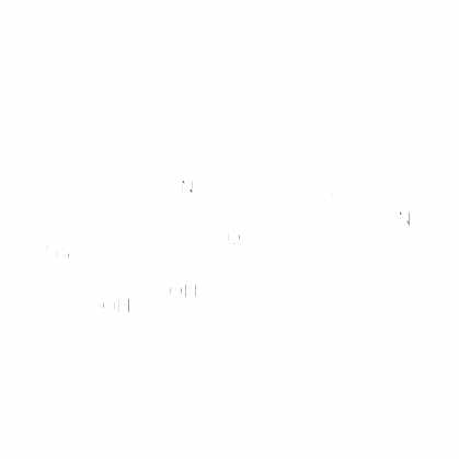 N#Cc1ccc(Cn2c(=O)c(O)c(C(=O)O)c3sccc32)cc1